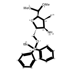 COC(OC)[C@@H]1O[C@@H](CO[Si](c2ccccc2)(c2ccccc2)C(C)(C)C)[C@H](N)[C@@H]1F